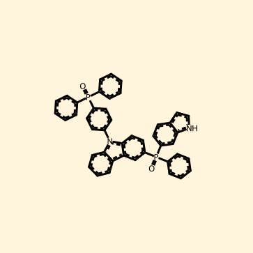 O=P(c1ccccc1)(c1ccccc1)c1ccc(-n2c3ccccc3c3cc(P(=O)(c4ccccc4)c4ccc5cc[nH]c5c4)ccc32)cc1